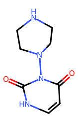 O=c1cc[nH]c(=O)n1N1CCNCC1